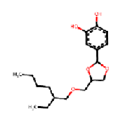 CCCCC(CC)COCC1COC(c2ccc(O)c(O)c2)O1